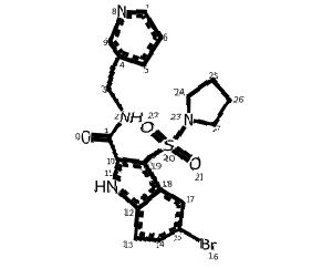 O=C(NCc1cccnc1)c1[nH]c2ccc(Br)cc2c1S(=O)(=O)N1CCCC1